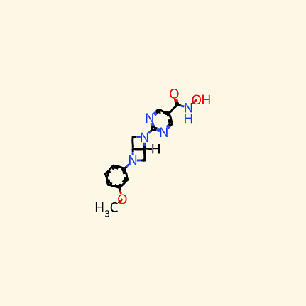 COc1cccc(N2C[C@@H]3C2CN3c2ncc(C(=O)NO)cn2)c1